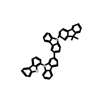 CC1(C)c2ccccc2-c2ccc(-n3c4ccccc4c4cc(-c5ccc6c7ccccc7n(-c7cccc8c7oc7ccccc78)c6c5)ccc43)cc21